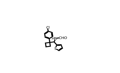 O=CNC(c1cccs1)C1(c2ccc(Cl)cc2)CCC1